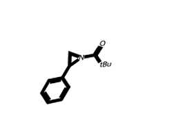 CC(C)(C)C(=O)N1CC1c1ccccc1